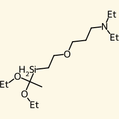 CCOC(C)(OCC)[SiH2]CCOCCCN(CC)CC